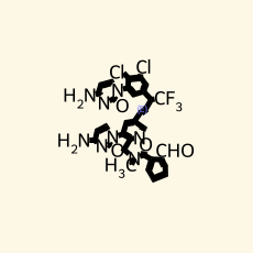 CN(Cc1ncc(/C=C/C(c2cc(Cl)c(Cl)c(-n3ccc(N)nc3=O)c2)C(F)(F)F)cc1-n1ccc(N)nc1=O)C(=O)c1ccccc1C=O